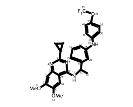 COc1cc2nc(C3CC3)nc(NC(C)c3cccc(Nc4ccc(OC(F)(F)F)cc4)c3)c2cc1OC